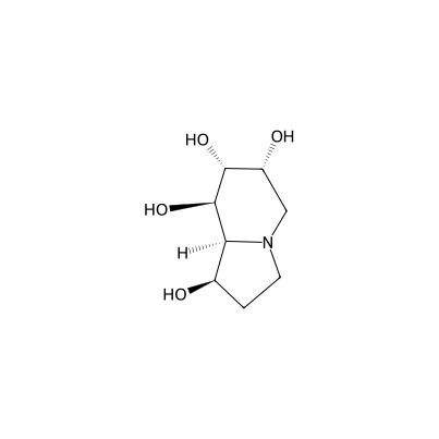 O[C@H]1[C@H](O)[C@H](O)CN2CC[C@@H](O)[C@@H]12